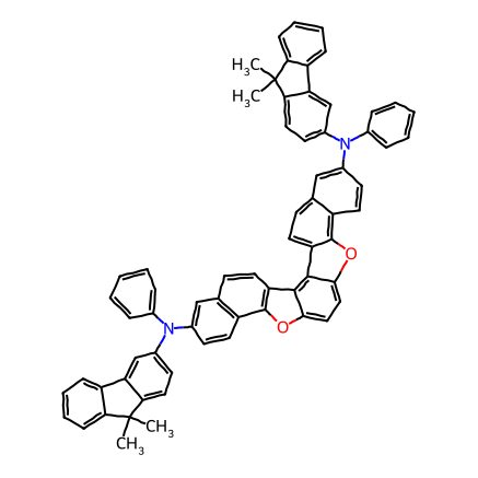 CC1(C)c2ccccc2-c2cc(N(c3ccccc3)c3ccc4c(ccc5c4oc4ccc6oc7c8ccc(N(c9ccccc9)c9ccc%10c(c9)-c9ccccc9C%10(C)C)cc8ccc7c6c45)c3)ccc21